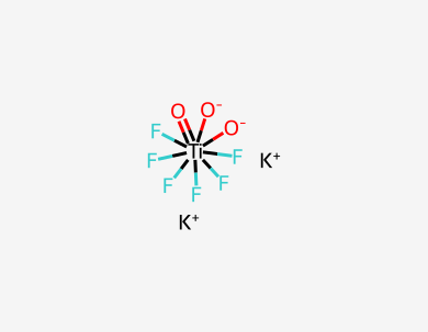 [K+].[K+].[O]=[Ti]([O-])([O-])([F])([F])([F])([F])([F])[F]